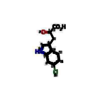 O=C(O)C(=O)Cc1c[nH]c2cc(Cl)ccc12